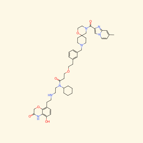 Cc1ccn2cc(C(=O)N3CCOC4(CCN(Cc5cccc(CCOCCC(=O)N(CCNCCc6ccc(O)c7c6OCC(=O)N7)C6CCCCC6)c5)CC4)C3)nc2c1